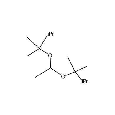 C[C](OC(C)(C)C(C)C)OC(C)(C)C(C)C